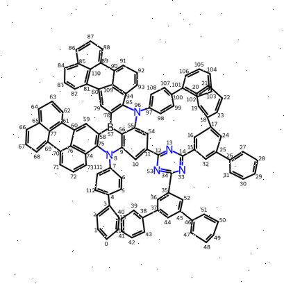 c1ccc(-c2ccc(N3c4cc(-c5nc(-c6cc(-c7ccccc7)cc(-c7ccccc7)c6)nc(-c6cc(-c7ccccc7)cc(-c7ccccc7)c6)n5)cc5c4B(c4cc6c7cccc8cccc(c9cccc(c43)c96)c87)c3cc4c6cccc7cccc(c8cccc(c3N5c3ccc(-c5ccccc5)cc3)c84)c76)cc2)cc1